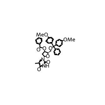 COc1ccc(C(OC[C@H]2O[C@H](n3cc(C)c(=O)[nH]c3=O)C[C@H]2OC(=O)c2ccccc2)(c2ccccc2)c2ccc(OC)cc2)cc1